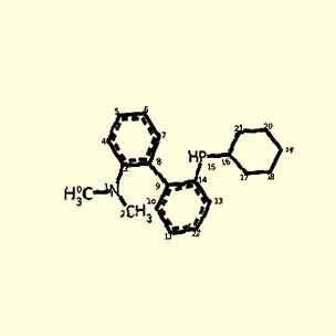 CN(C)c1ccccc1-c1ccccc1PC1CCCCC1